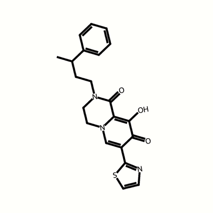 CC(CCN1CCn2cc(-c3nccs3)c(=O)c(O)c2C1=O)c1ccccc1